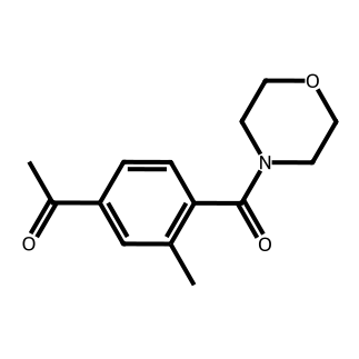 CC(=O)c1ccc(C(=O)N2CCOCC2)c(C)c1